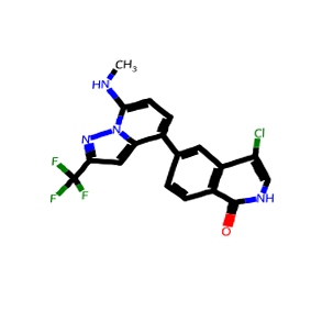 CNc1ccc(-c2ccc3c(=O)[nH]cc(Cl)c3c2)c2cc(C(F)(F)F)nn12